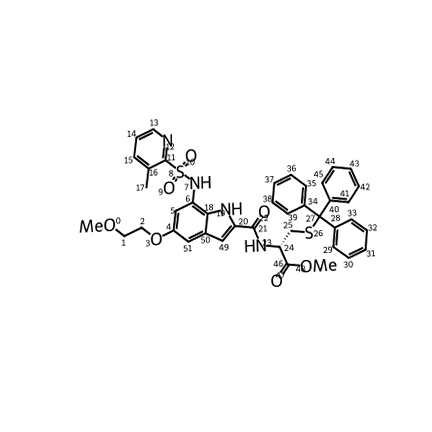 COCCOc1cc(NS(=O)(=O)c2ncccc2C)c2[nH]c(C(=O)N[C@H](CSC(c3ccccc3)(c3ccccc3)c3ccccc3)C(=O)OC)cc2c1